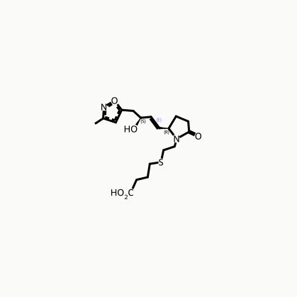 Cc1cc(C[C@H](O)/C=C/[C@H]2CCC(=O)N2CCSCCCC(=O)O)on1